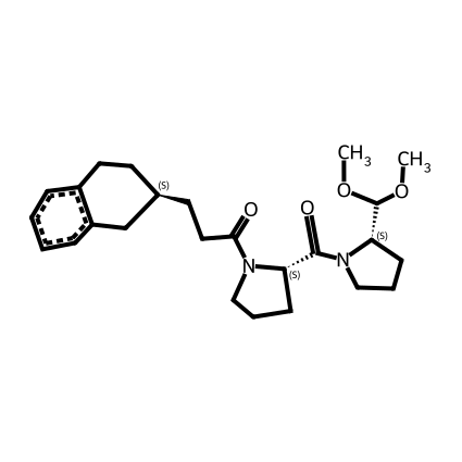 COC(OC)[C@@H]1CCCN1C(=O)[C@@H]1CCCN1C(=O)CC[C@@H]1CCc2ccccc2C1